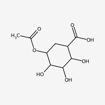 CC(=O)OC1CC(C(=O)O)C(O)C(O)C1O